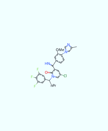 CCCC(c1cc(F)c(F)c(F)c1)n1cc(Cl)cc(C(=N)c2ccc(-n3cnc(C)c3)c(OC)c2)c1=O